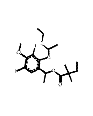 CCOC(C)Oc1c(C(C)OC(=O)C(C)(C)CC)cc(I)c(OC)c1I